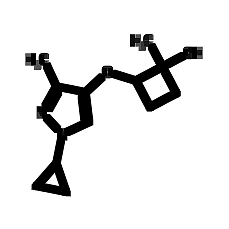 Cc1nn(C2CC2)cc1OC1CCC1(C)O